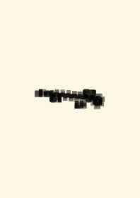 CCCCCCC(O)CCCCCCCCCCC(=O)OC(=O)c1ccccc1.[LiH]